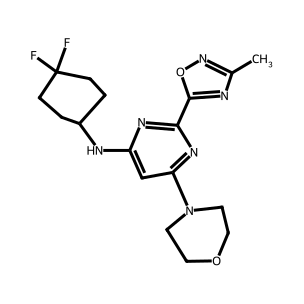 Cc1noc(-c2nc(NC3CCC(F)(F)CC3)cc(N3CCOCC3)n2)n1